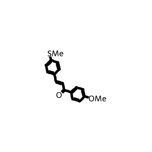 COc1ccc(C(=O)C=Cc2ccc(SC)cc2)cc1